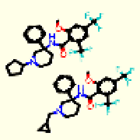 COc1cc(C(F)(F)F)cc(C(F)(F)F)c1C(=O)NC1(c2ccccc2)CCCN(C2CCCC2)C1.COc1cc(C(F)(F)F)cc(C(F)(F)F)c1C(=O)NC1(c2ccccc2)CCCN(CC2CC2)C1